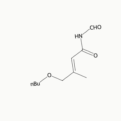 CCCCOCC(C)=CC(=O)NC=O